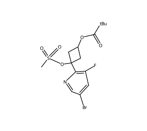 CC(C)(C)C(=O)OC1CC(OS(C)(=O)=O)(c2ncc(Br)cc2F)C1